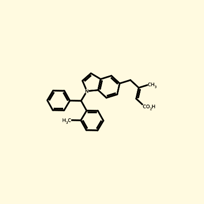 CC(=CC(=O)O)Cc1ccc2c(ccn2C(c2ccccc2)c2ccccc2C)c1